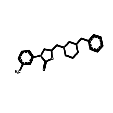 Cc1cccc(N2CC(CN3CCCC(Cc4ccccc4)C3)OC2=O)c1